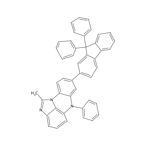 Cc1nc2cccc3c2n1-c1ccc(-c2ccc4c(c2)C(c2ccccc2)(c2ccccc2)c2ccccc2-4)cc1N3c1ccccc1